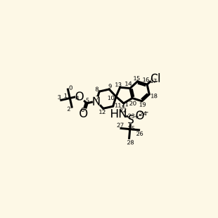 CC(C)(C)OC(=O)N1CCC2(CC1)Cc1cc(Cl)ccc1[C@@H]2N[S@+]([O-])C(C)(C)C